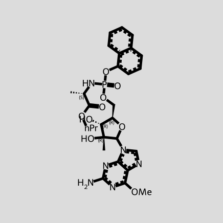 CCCOC(=O)[C@H](C)NP(=O)(OC[C@H]1OC(n2cnc3c(OC)nc(N)nc32)[C@](C)(O)[C@@H]1O)Oc1cccc2ccccc12